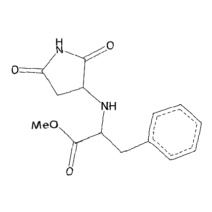 COC(=O)C(Cc1ccccc1)NC1CC(=O)NC1=O